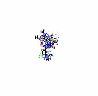 CC/C=C\C(C)(/C=N\N(NC)C1CC1)[C@@](C)(CC(C)(C)C)NC(=N)N(C=O)[C@H](CNC(=O)C1CC1)c1ccc(Cl)c(-n2ncnc2C(F)F)c1